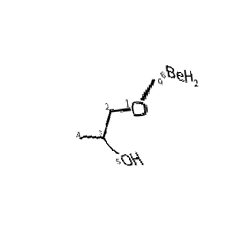 COCC(C)O.[BeH2]